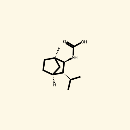 CC(C)[C@@H]1[C@H]2CC[C@H](C2)[C@H]1NC(=O)O